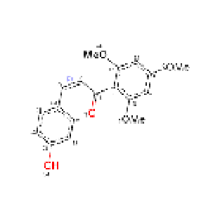 COc1cc(OC)c(C(=O)/C=C\c2ccc(O)cc2)c(OC)c1